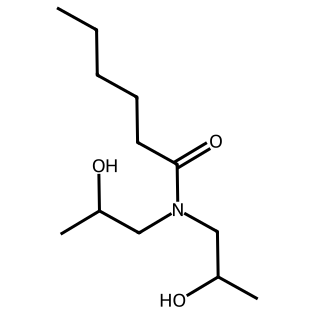 CCCCCC(=O)N(CC(C)O)CC(C)O